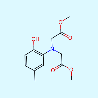 COC(=O)CN(CC(=O)OC)c1cc(C)ccc1O